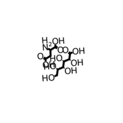 NC(CC(=O)O)C(=O)O.O=C(O)[C@H](O)[C@@H](O)[C@H](O)[C@H](O)CO